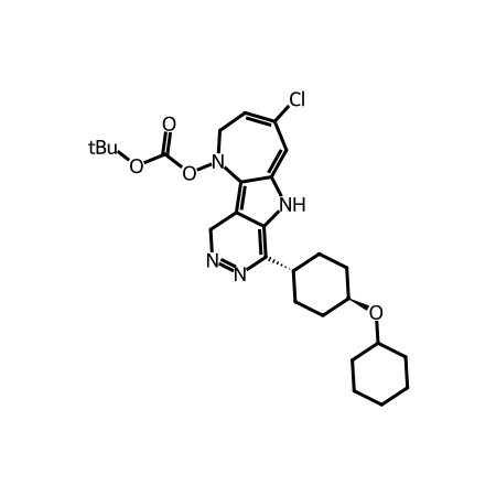 CC(C)(C)OC(=O)ON1CC=C(Cl)C=c2[nH]c3c(c21)CN=NC=3[C@H]1CC[C@H](OC2CCCCC2)CC1